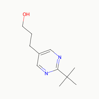 CC(C)(C)c1ncc(CCCO)cn1